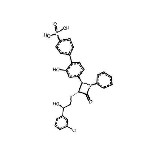 O=C1[C@H](CC[C@H](O)c2cccc(Cl)c2)[C@@H](c2ccc(-c3ccc(P(=O)(O)O)cc3)c(O)c2)N1c1ccccc1